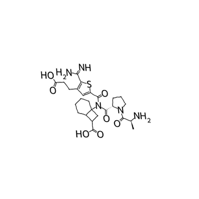 C[C@H](N)C(=O)N1CCC[C@H]1C(=O)N(C(=O)c1cc(CCC(=O)O)c(C(=N)N)s1)C12CCCCC1C(C(=O)O)C2